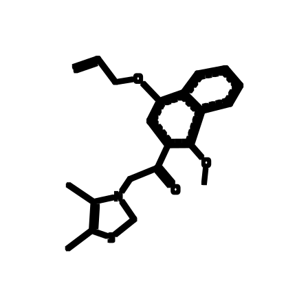 C=CCOc1cc(C(=O)CN2CSC(C)=C2C)c(OC)c2ccccc12